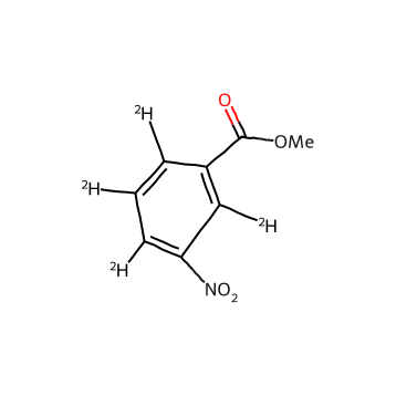 [2H]c1c([2H])c(C(=O)OC)c([2H])c([N+](=O)[O-])c1[2H]